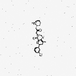 Cc1cc(-c2cccc(Cl)c2)nc2c(=O)n(CC(=O)C[C@@H]3CCCCN3)cnc12